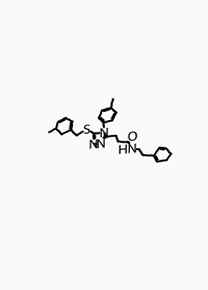 Cc1ccc(-n2c(CCC(=O)NCCC3=CCCC=C3)nnc2SCC2=CC=CC(C)C2)cc1